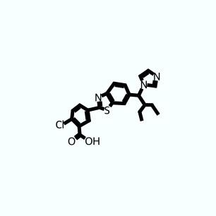 CCC(CC)C(c1ccc2nc(-c3ccc(Cl)c(C(=O)O)c3)sc2c1)n1ccnc1